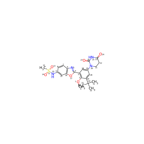 COc1c(-c2nc3ccc(NS(C)(=O)=O)cc3o2)cc(N2CCC(=O)NC2=O)cc1C(C)(C)C